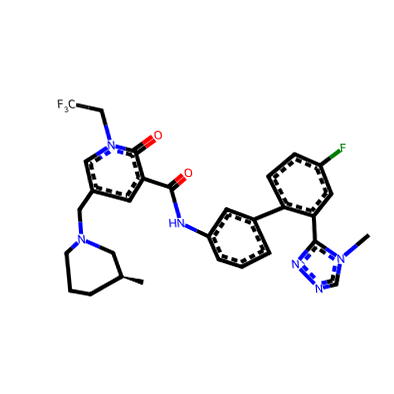 C[C@H]1CCCN(Cc2cc(C(=O)Nc3cccc(-c4ccc(F)cc4-c4nncn4C)c3)c(=O)n(CC(F)(F)F)c2)C1